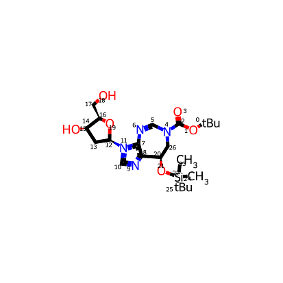 CC(C)(C)OC(=O)N1C=Nc2c(ncn2[C@H]2C[C@H](O)[C@@H](CO)O2)[C@H](O[Si](C)(C)C(C)(C)C)C1